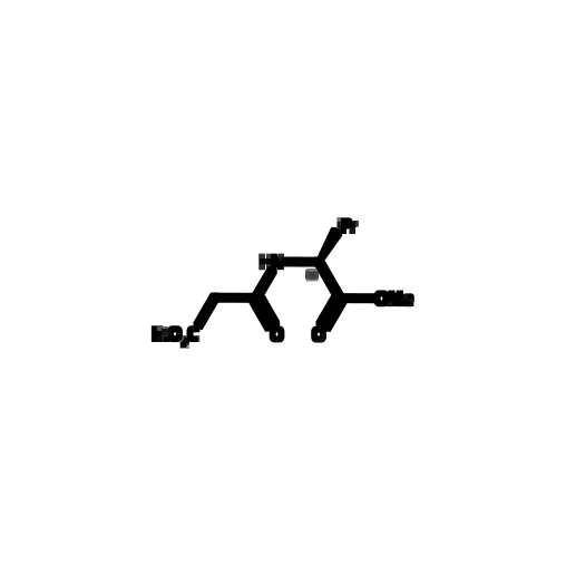 CCOC(=O)CC(=O)N[C@H](C(=O)OC)C(C)C